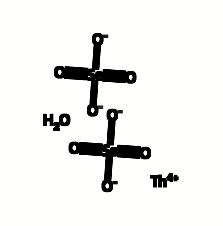 O.O=[Se](=O)([O-])[O-].O=[Se](=O)([O-])[O-].[Th+4]